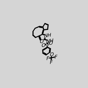 C=C1CCCC/C=C2/CCC/C2=C/1NC(=O)NS(=O)(=O)c1cccc(OC(F)(F)F)c1